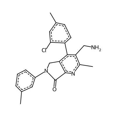 Cc1cccc(N2Cc3c(nc(C)c(CN)c3-c3ccc(C)cc3Cl)C2=O)c1